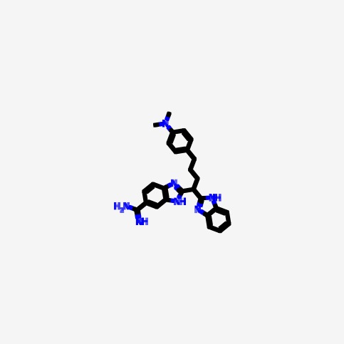 CN(C)c1ccc(CCCC(c2nc3ccccc3[nH]2)c2nc3ccc(C(=N)N)cc3[nH]2)cc1